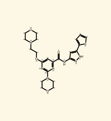 O=C(Nc1cc(-c2cccs2)[nH]n1)c1cc(OCCN2CCOCC2)nc(N2CCOCC2)n1